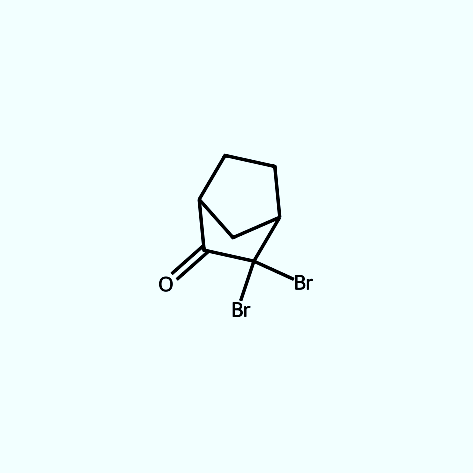 O=C1C2CCC(C2)C1(Br)Br